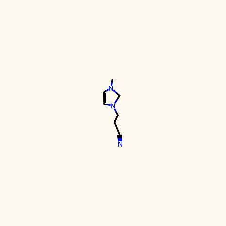 CN1C=CN(CCC#N)C1